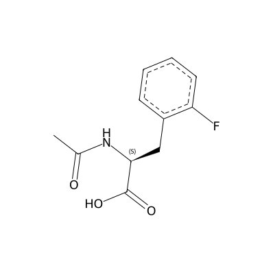 CC(=O)N[C@@H](Cc1ccccc1F)C(=O)O